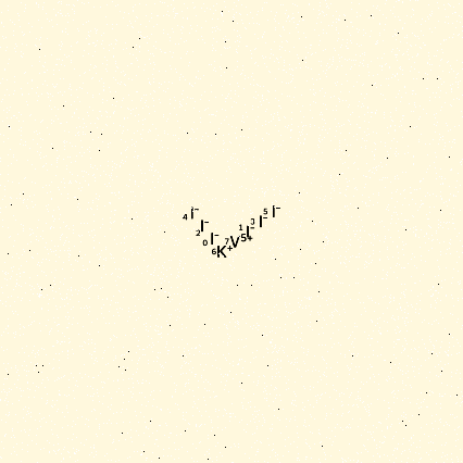 [I-].[I-].[I-].[I-].[I-].[I-].[K+].[V+5]